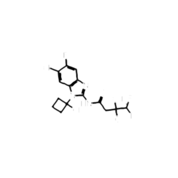 CC(C)(CC(=O)Nc1nc2cc(F)c(Cl)cc2n1C1(C)CCC1)C(F)F